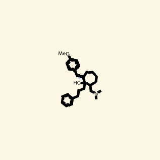 COc1ccc(/C=C2\CCCCC(CN(C)C)C2(O)CCCc2ccccc2)cc1